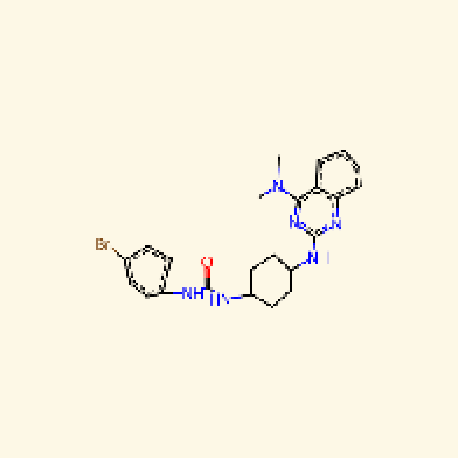 CN(C)c1nc(NC2CCC(NC(=O)Nc3ccc(Br)cc3)CC2)nc2ccccc12